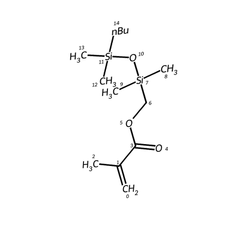 C=C(C)C(=O)OC[Si](C)(C)O[Si](C)(C)CCCC